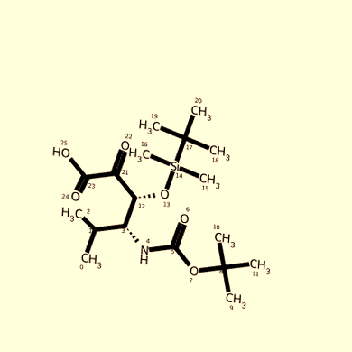 CC(C)[C@@H](NC(=O)OC(C)(C)C)[C@@H](O[Si](C)(C)C(C)(C)C)C(=O)C(=O)O